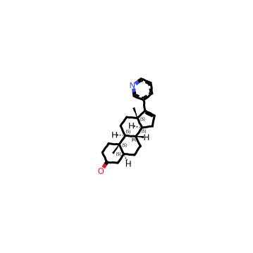 C[C@]12CCC(=O)C[C@@H]1CC[C@@H]1[C@@H]2CC[C@]2(C)C(c3cccnc3)=CC[C@@H]12